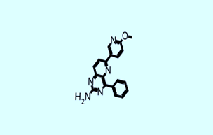 COc1ccc(-c2ccc3nc(N)nc(-c4ccccc4)c3n2)cn1